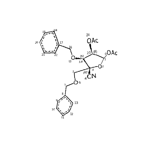 CC(=O)OC1O[C@](C#N)(COCc2ccccc2)[C@@H](OCc2ccccc2)[C@H]1OC(C)=O